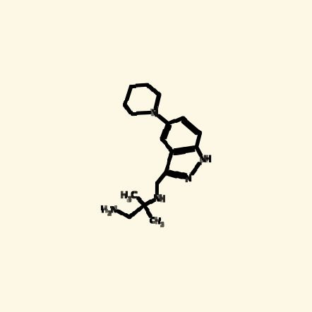 CC(C)(CN)NCc1n[nH]c2ccc(N3CCCCC3)cc12